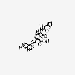 O=C(Cc1cccs1)NC1C(=O)N2C(C(=O)O)=C(CSc3ncnc4[nH]ncc34)CS[C@H]12